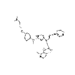 Cc1cccc(C)c1OC(=O)N(CCc1ccccc1)c1ccnc(Nc2ccc(OCCCN(C)C)cc2)n1